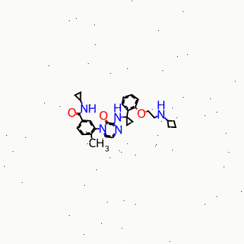 Cc1ccc(C(=O)NC2CC2)cc1-n1ccnc(NC2(c3ccccc3OCCNC3CCC3)CC2)c1=O